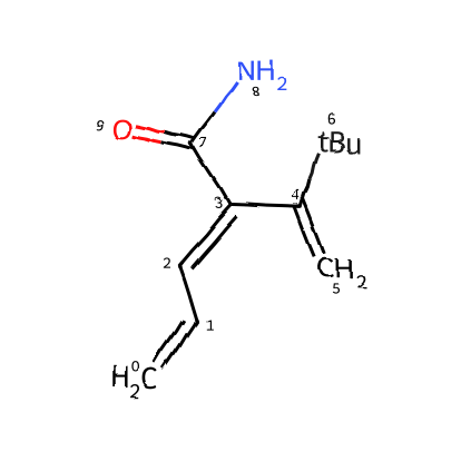 C=C/C=C(\C(=C)C(C)(C)C)C(N)=O